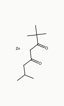 CC(C)CC(=O)CC(=O)C(C)(C)C.[Zn]